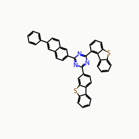 c1ccc(-c2ccc3cc(-c4nc(-c5ccc6c(c5)sc5ccccc56)nc(-c5cccc6sc7ccccc7c56)n4)ccc3c2)cc1